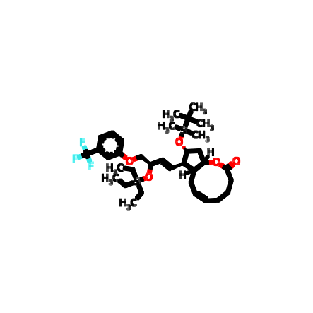 CC[Si](CC)(CC)O[C@H](C=C[C@@H]1[C@H]2CC=CCCCC(=O)O[C@H]2C[C@H]1O[Si](C)(C)C(C)(C)C)COc1cccc(C(F)(F)F)c1